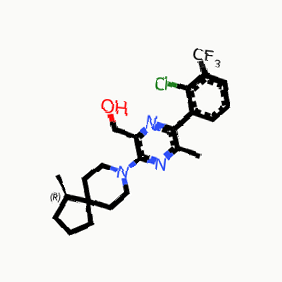 Cc1nc(N2CCC3(CCC[C@H]3C)CC2)c(CO)nc1-c1cccc(C(F)(F)F)c1Cl